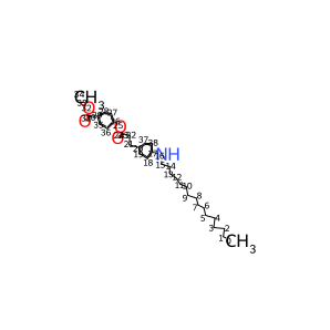 CCCCCCCCCCCCCCCCNc1ccc(CCC(=O)Oc2ccc(C(=O)OCC)cc2)cc1